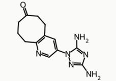 Nc1nc(N)n(-c2cnc3c(c2)CCC(=O)CCC3)n1